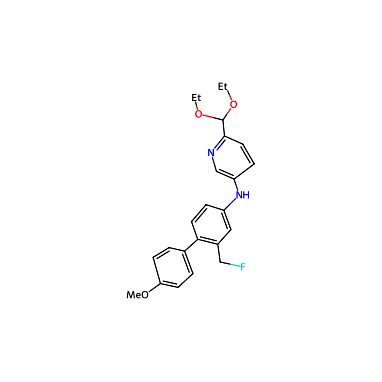 CCOC(OCC)c1ccc(Nc2ccc(-c3ccc(OC)cc3)c(CF)c2)cn1